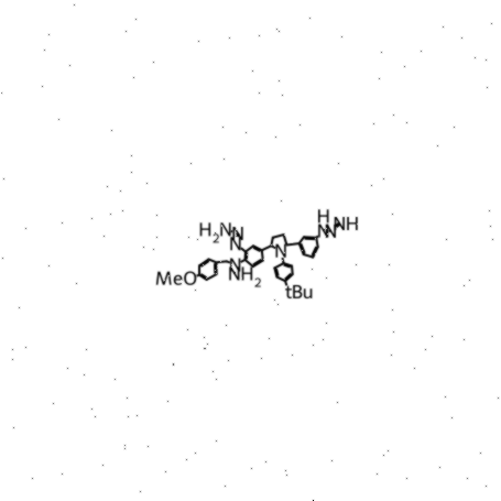 COc1ccc(CN(N)c2ccc(C3CCC(c4cccc(NN=N)c4)N3c3ccc(C(C)(C)C)cc3)cc2N=NN)cc1